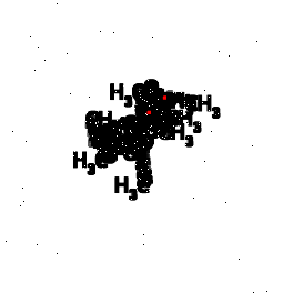 CCCCCCCCN1C(=O)c2c(C)sc(-c3cc4c(s3)-c3sc(-c5sc(-c6cc7c(s6)-c6sc(C)cc6[Si]7(c6ccc(CCCC)s6)c6ccc(CCCC)s6)c6c5C(=O)N(CCCCCCCC)C6=O)cc3[Si]4(CC(CC)CCCC)CC(CC)CCCC)c2C1=O